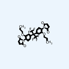 C=CCOc1cc(C(c2ccc(N3C(=O)C=CC3=O)c(OCC=C)c2)(C(F)(F)F)C(F)(F)F)ccc1N1C(=O)C=CC1=O